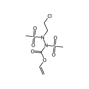 C=COC(=O)N(N(CCCl)S(C)(=O)=O)S(C)(=O)=O